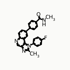 CNC(=O)c1ccc(-c2ccc3ncc4nc(C)n(-c5ccc(F)cc5)c4c3c2)cc1